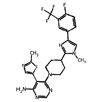 Cc1ncc(-c2c(N)ncnc2N2CCC(c3nc(-c4ccc(F)c(C(F)(F)F)c4)cn3C)CC2)s1